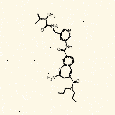 CCCN(CCC)C(=O)C1=Cc2ccc(C(=O)Nc3cncc(CNC(=O)C(N)C(C)C)c3)cc2N=C(N)C1